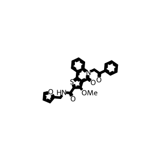 COc1c(C(=O)NCc2ccco2)sc2c1c(=O)n(CC(=O)c1ccccc1)c1ccccc21